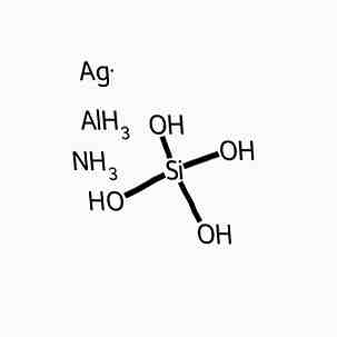 N.O[Si](O)(O)O.[Ag].[AlH3]